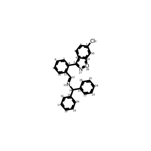 Clc1ccc2c(-c3ccccc3C=NC(c3ccccc3)c3ccccc3)noc2c1